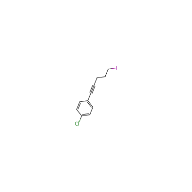 Clc1ccc(C#CCCCI)cc1